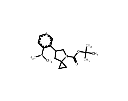 CN(C)c1ccncc1C1CN(C(=O)OC(C)(C)C)C2(CC2)C1